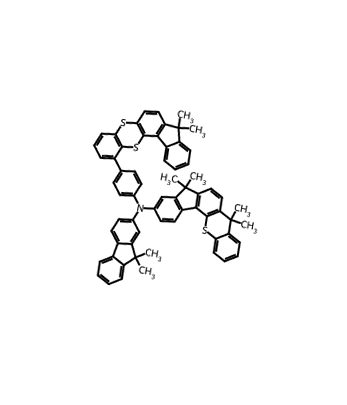 CC1(C)c2ccccc2-c2ccc(N(c3ccc(-c4cccc5c4Sc4c(ccc6c4-c4ccccc4C6(C)C)S5)cc3)c3ccc4c(c3)C(C)(C)c3ccc5c(c3-4)Sc3ccccc3C5(C)C)cc21